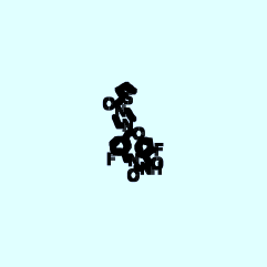 O=C(c1ccc(F)c(Cn2c(=O)[nH]c(=O)c3c(F)cccc32)c1)N1CCN(C(=O)c2cccs2)CC1